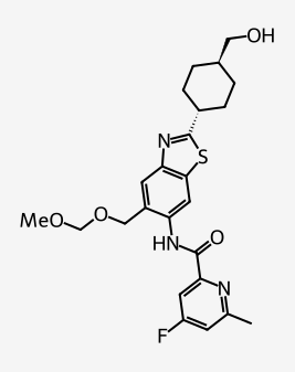 COCOCc1cc2nc([C@H]3CC[C@H](CO)CC3)sc2cc1NC(=O)c1cc(F)cc(C)n1